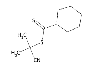 CC(C)(C#N)SC(=S)C1CCCCC1